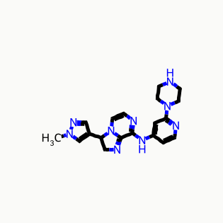 Cn1cc(C2CN=C3C(Nc4ccnc(N5CCNCC5)c4)=NC=CN32)cn1